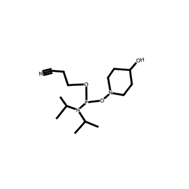 CC(C)N(C(C)C)P(OCCC#N)ON1CCC(O)CC1